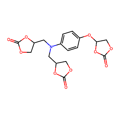 O=C1OCC(CN(CC2COC(=O)O2)c2ccc(OC3COC(=O)O3)cc2)O1